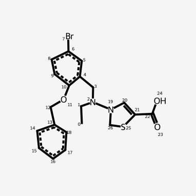 CCN(Cc1cc(Br)ccc1OCc1ccccc1)N1C=C(C(=O)O)SC1